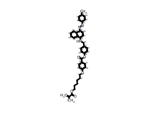 C=C(C)C(=O)OCCCCCCOc1ccc(C(=O)Oc2ccc(CNc3ccc(/N=N/c4ccc(C)cc4)c4ccccc34)cc2)cc1